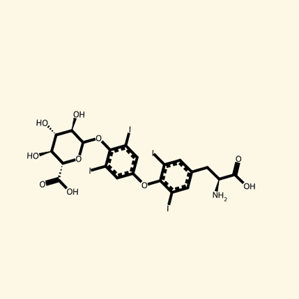 N[C@@H](Cc1cc(I)c(Oc2cc(I)c(OC3O[C@H](C(=O)O)[C@@H](O)[C@H](O)[C@H]3O)c(I)c2)c(I)c1)C(=O)O